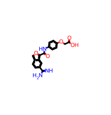 N=C(N)c1ccc2coc(C(=O)Nc3ccc(OCC(=O)O)cc3)c2c1